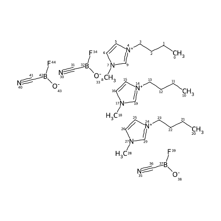 CCCC[n+]1ccn(C)c1.CCCC[n+]1ccn(C)c1.CCCC[n+]1ccn(C)c1.N#CB([O-])F.N#CB([O-])F.N#CB([O-])F